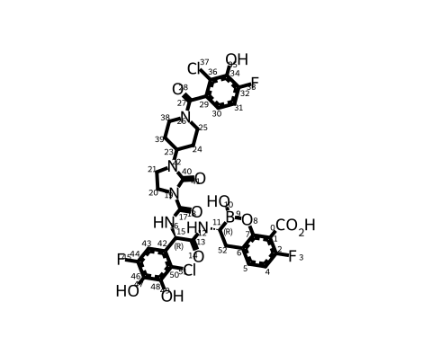 O=C(O)c1c(F)ccc2c1OB(O)[C@@H](NC(=O)[C@H](NC(=O)N1CCN(C3CCN(C(=O)c4ccc(F)c(O)c4Cl)CC3)C1=O)c1cc(F)c(O)c(O)c1Cl)C2